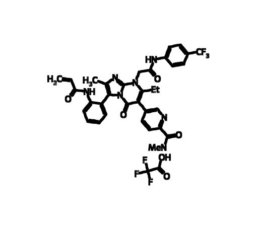 C=CC(=O)Nc1ccccc1-c1c(C)nc2n(CC(=O)Nc3ccc(C(F)(F)F)cc3)c(CC)c(-c3ccc(C(=O)NC)nc3)c(=O)n12.O=C(O)C(F)(F)F